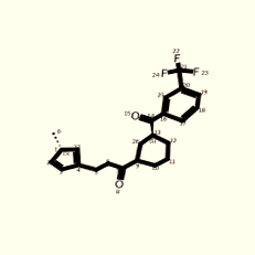 C[C@H]1C=CC(CCC(=O)C2CCC[C@H](C(=O)c3cccc(C(F)(F)F)c3)C2)=C1